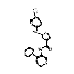 O=C(Nc1cnccc1-c1ccccc1)c1ccnc(Nc2ccc(C(F)(F)F)cn2)c1